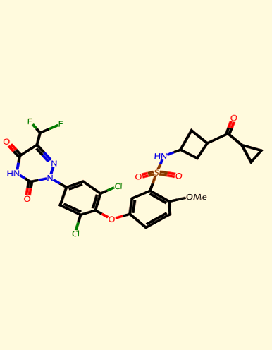 COc1ccc(Oc2c(Cl)cc(-n3nc(C(F)F)c(=O)[nH]c3=O)cc2Cl)cc1S(=O)(=O)NC1CC(C(=O)C2CC2)C1